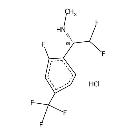 CN[C@@H](c1ccc(C(F)(F)F)cc1F)C(F)F.Cl